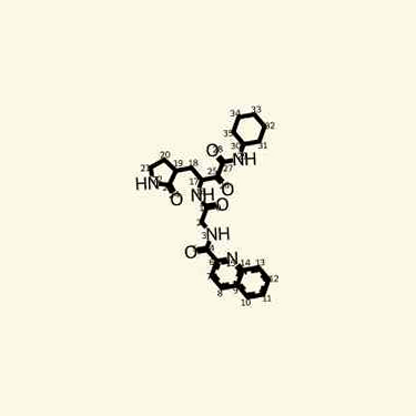 O=C(CNC(=O)c1ccc2ccccc2n1)NC(CC1CCNC1=O)C(=O)C(=O)NC1CCCCC1